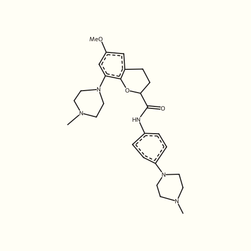 COc1cc2c(c(N3CCN(C)CC3)c1)OC(C(=O)Nc1ccc(N3CCN(C)CC3)cc1)CC2